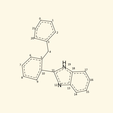 c1ccc(Cc2ccccc2-c2nc3ccccc3[nH]2)cc1